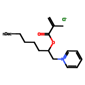 C=C(C)C(=O)OC(CCCCCCCCCCCCCC)C[n+]1ccccc1.[Cl-]